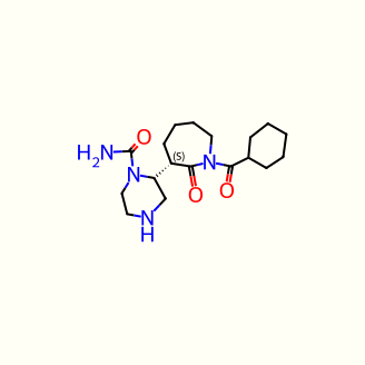 NC(=O)N1CCNCC1[C@@H]1CCCCN(C(=O)C2CCCCC2)C1=O